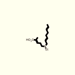 CC=CCCC=CCN(CC)CCC=C(C)C(=O)O